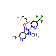 CC[S+]([O-])c1cc(C(F)(F)F)cnc1-c1nc2cc(Cl)ncc2n1C